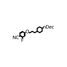 CCCCCCCCCCC1CCC(CCCOc2ccc(C#N)c(F)c2)CC1